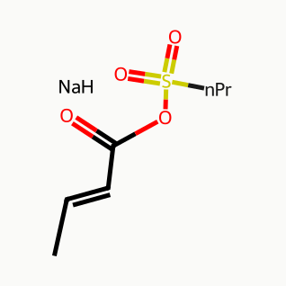 CC=CC(=O)OS(=O)(=O)CCC.[NaH]